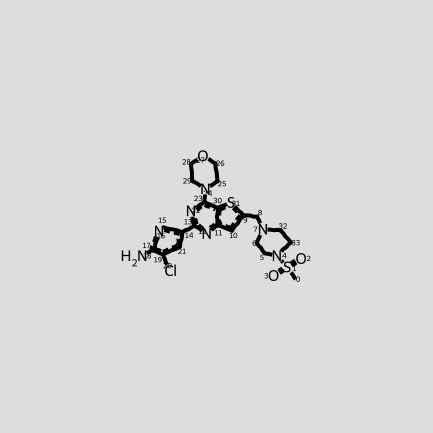 CS(=O)(=O)N1CCN(Cc2cc3nc(-c4cnc(N)c(Cl)c4)nc(N4CCOCC4)c3s2)CC1